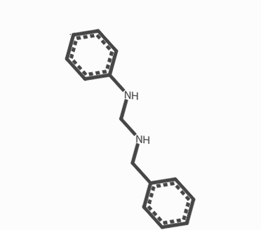 [c]1ccc(NCNCc2ccccc2)cc1